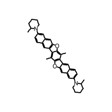 Cc1c2oc3cc4cc(N5CCCCC5C)ccc4cc3c2c(C)c2oc3cc4cc(N5CCCCC5C)ccc4cc3c12